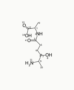 CC(NC(=O)CCP(O)C(C)N)C(=O)O